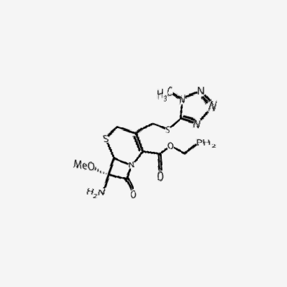 CO[C@@]1(N)C(=O)N2C(C(=O)OCP)=C(CSc3nnnn3C)CSC21